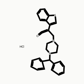 Cl.O=C=C(CN1CCN(C(c2ccccc2)c2ccccc2)CC1)c1csc2ccccc12